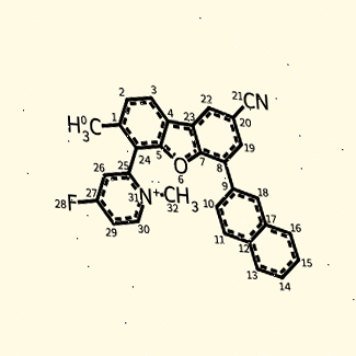 Cc1ccc2c(oc3c(-c4ccc5ccccc5c4)cc(C#N)cc32)c1-c1cc(F)cc[n+]1C